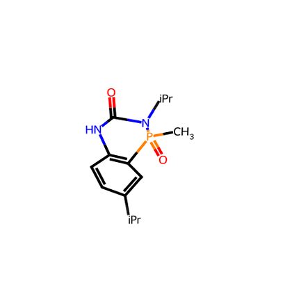 CC(C)c1ccc2c(c1)P(C)(=O)N(C(C)C)C(=O)N2